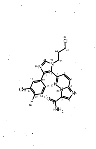 NC(=O)c1cnc2ccc(-c3c(-c4ccc(F)c(Cl)c4)ncn3CCCCl)nn12